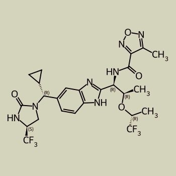 Cc1nonc1C(=O)N[C@H](c1nc2cc([C@@H](C3CC3)N3C[C@@H](C(F)(F)F)NC3=O)ccc2[nH]1)[C@@H](C)O[C@H](C)C(F)(F)F